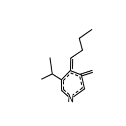 C=c1cncc(C(C)C)/c1=C/CCC